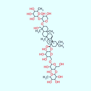 CC1OC(OC2C(CO)OC(OCC3OC(OC(=O)C45CCC(C)(C)CC4C4=CCC6C7(C)CCC(OC8OCC(O)C(O)C8OC8OC(C)C(O)C(O)C8O)C(C)(CO)C7CCC6(C)C4(C)CC5)C(O)C(O)C3O)C(O)C2O)C(O)C(O)C1O